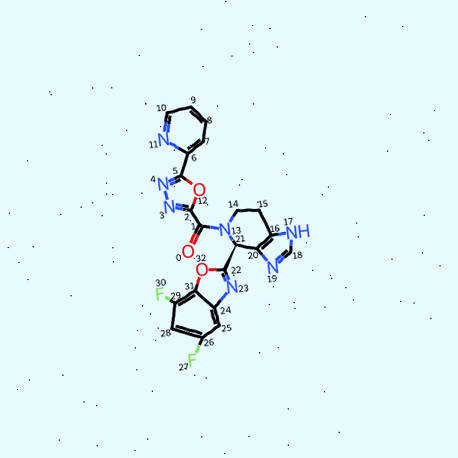 O=C(c1nnc(-c2ccccn2)o1)N1CCc2[nH]cnc2[C@H]1c1nc2cc(F)cc(F)c2o1